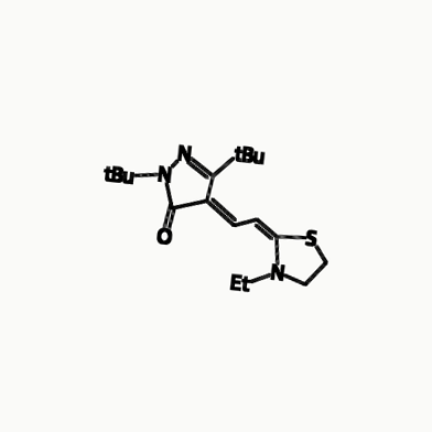 CCN1CCS/C1=C/C=C1/C(=O)N(C(C)(C)C)N=C1C(C)(C)C